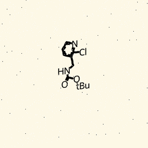 CC(C)(C)OC(=O)NCc1cccnc1Cl